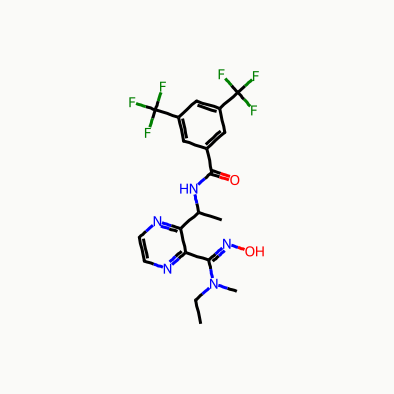 CCN(C)C(=NO)c1nccnc1C(C)NC(=O)c1cc(C(F)(F)F)cc(C(F)(F)F)c1